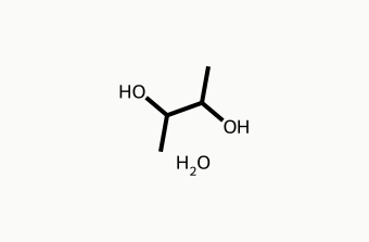 CC(O)C(C)O.O